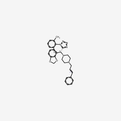 Cc1cccc(C)c1-n1nnnc1[C@@H](c1cccc2c1OCO2)N1CCN(C/C=C/c2ccccc2)CC1